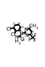 Cc1cc(C(F)(F)F)nc(N(C(N)=O)c2cccc(Cl)c2Cl)n1